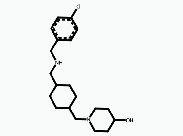 OC1CCN(CC2CCC(CNCc3ccc(Cl)cc3)CC2)CC1